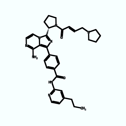 CCCc1ccnc(NC(=O)c2ccc(-c3nc([C@@H]4CCCN4C(=O)/C=C/CN4CCCC4)n4ccnc(N)c34)cc2)c1